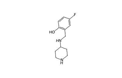 Oc1ccc(F)cc1CNC1CCNCC1